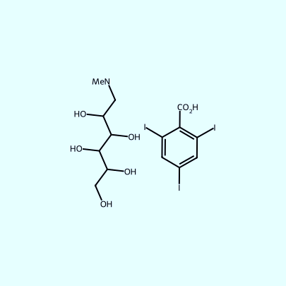 CNCC(O)C(O)C(O)C(O)CO.O=C(O)c1c(I)cc(I)cc1I